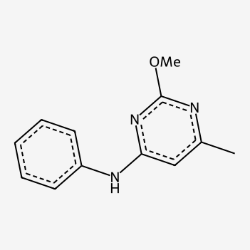 COc1nc(C)cc(Nc2ccccc2)n1